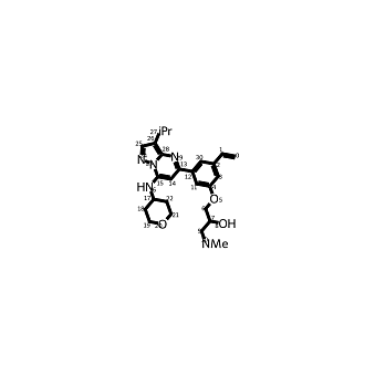 C=Cc1cc(OCC(O)CNC)cc(-c2cc(NC3CCOCC3)n3ncc(C(C)C)c3n2)c1